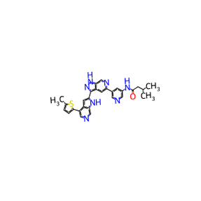 Cc1ccc(-c2cncc3[nH]c(-c4n[nH]c5cnc(-c6cncc(NC(=O)CC(C)C)c6)cc45)cc23)s1